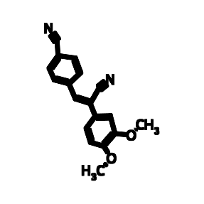 COc1ccc(/C(C#N)=C/c2ccc(C#N)cc2)cc1OC